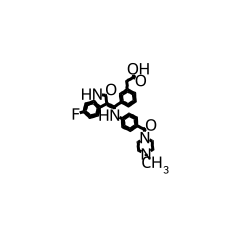 CN1CCN(C(=O)c2ccc(NC(=C3C(=O)Nc4cc(F)ccc43)c3cccc(CC(=O)O)c3)cc2)CC1